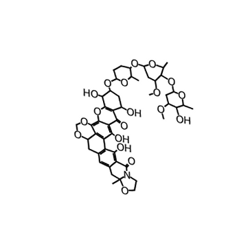 COC1CC(OC2C(C)OC(OC3CCC(OC4CC(O)c5c(oc6c7c8c(c(O)c6c5=O)-c5c(cc6c(c5O)C(=O)N5CCOC5(C)C6)CC8OCO7)C4O)OC3C)CC2OC)OC(C)C1O